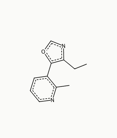 CCc1ncoc1-c1cccnc1C